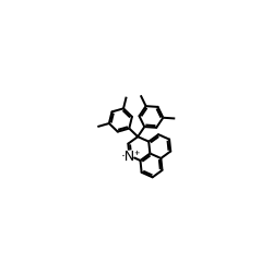 Cc1cc(C)cc(C2(c3cc(C)cc(C)c3)C=[N+]c3cccc4cccc2c34)c1